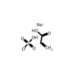 C=CC(=O)O.O=S(=O)([O-])O.[Na+]